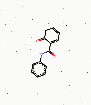 O=C1CC=CC=C1C(=O)Nc1ccccc1